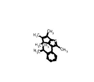 CC1=C(C)C(C)c2c1sc(C)c2-c1ccccc1C(C)C